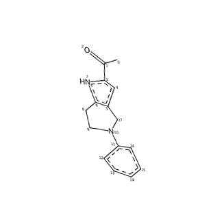 CC(=O)c1cc2c([nH]1)CCN(c1ccccc1)C2